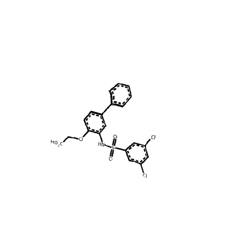 O=C(O)COc1ccc(-c2ccccc2)cc1NS(=O)(=O)c1cc(Cl)cc(Cl)c1